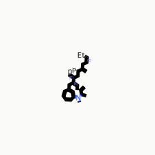 C=CC(C)N(C)C1=C=C(CC(=C\C)/C(=C/CCC)CCC(=C)C/C=C\CC)C=CC=C1